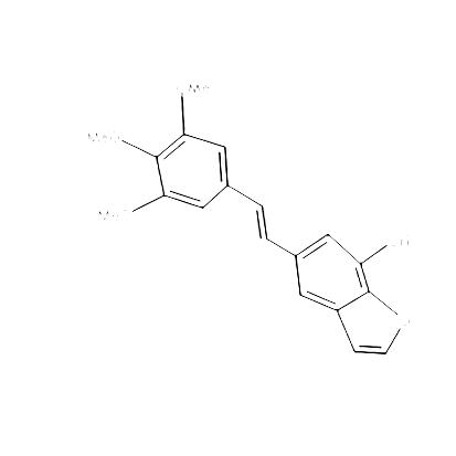 COc1cc(/C=C/c2cc(O)c3occc3c2)cc(OC)c1OC